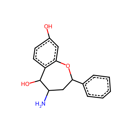 NC1CC(c2ccccc2)Oc2cc(O)ccc2C1O